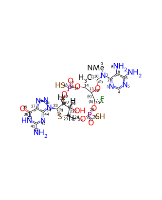 CNN(c1ncnc(N)c1N)[C@@H](C)O[C@@H]1COP(=O)(S)O[C@@H]2[C@H](O)[C@@H](COP(=O)(S)O[C@H]1F)S[C@H]2n1nnc2c(=O)[nH]c(N)nc21